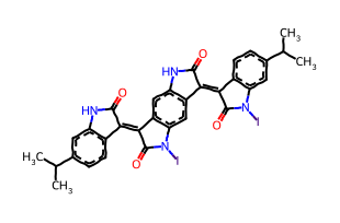 CC(C)c1ccc2c(c1)NC(=O)/C2=C1/C(=O)N(I)c2cc3c(cc21)NC(=O)/C3=C1/C(=O)N(I)c2cc(C(C)C)ccc21